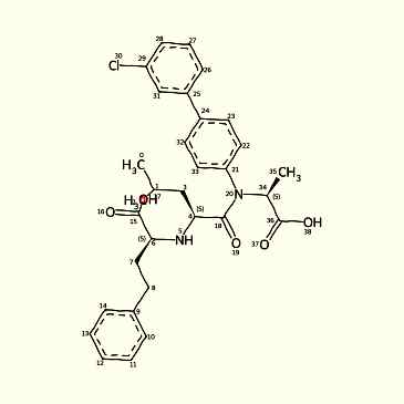 CC(C)C[C@H](N[C@@H](CCc1ccccc1)C(=O)O)C(=O)N(c1ccc(-c2cccc(Cl)c2)cc1)[C@@H](C)C(=O)O